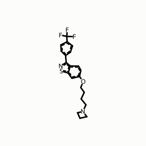 FC(F)(F)c1ccc(-c2nsc3cc(OCCCCN4CCC4)ccc23)cc1